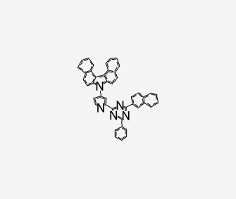 c1ccc(-c2nc(-c3ccc4ccccc4c3)nc(-c3cc(-n4c5ccc6ccccc6c5c5c6ccccc6ccc54)ccn3)n2)cc1